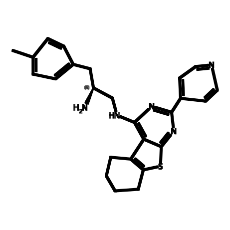 Cc1ccc(C[C@H](N)CNc2nc(-c3ccncc3)nc3sc4c(c23)CCCC4)cc1